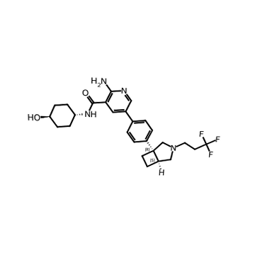 Nc1ncc(-c2ccc([C@@]34CC[C@@H]3CN(CCC(F)(F)F)C4)cc2)cc1C(=O)N[C@H]1CC[C@H](O)CC1